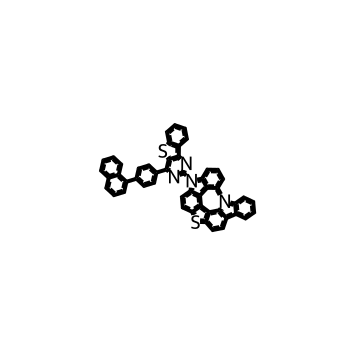 c1ccc2c(-c3ccc(-c4nc(-n5c6ccc7sc8ccc9c%10ccccc%10n%10c%11cccc5c%11c6c7c8c9%10)nc5c4sc4ccccc45)cc3)cccc2c1